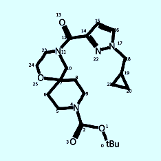 CC(C)(C)OC(=O)N1CCC2(CC1)CN(C(=O)c1ccn(CC3CC3)n1)CCO2